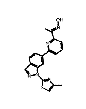 C/C(=N\O)c1cccc(-c2ccc3cnn(-c4nc(C)cs4)c3c2)n1